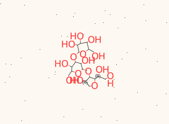 OCC1OC(OC2C(O)C(CO)OC(OC3C([C@H](O)CO)OC[C@H]3O)C2O)C(O)C(O)C1O